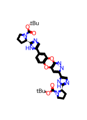 CC(C)(C)OC(=O)N1CCC[C@H]1c1ncc(-c2ccc3c(c2)Oc2nnc(-c4cnc([C@@H]5CCCN5C(=O)OC(C)(C)C)[nH]4)cc2O3)[nH]1